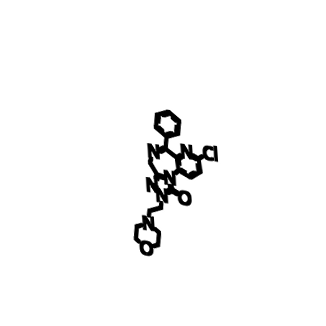 O=c1n(CCN2CCOCC2)nc2n1-c1ccc(Cl)nc1C(c1ccccc1)=NC2